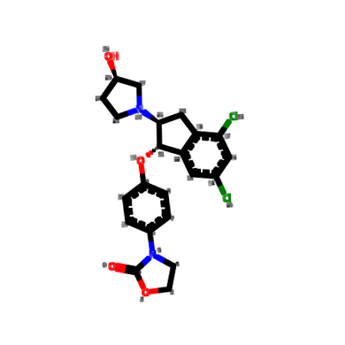 O=C1OCCN1c1ccc(O[C@H]2c3cc(Cl)cc(Cl)c3C[C@@H]2N2CC[C@@H](O)C2)cc1